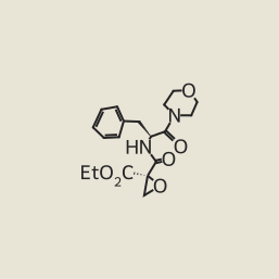 CCOC(=O)[C@@]1(C(=O)N[C@@H](Cc2ccccc2)C(=O)N2CCOCC2)CO1